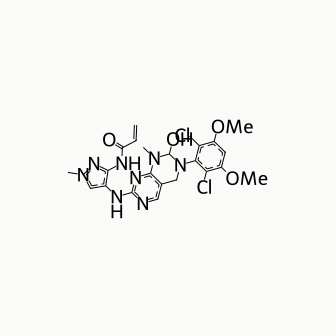 C=CC(=O)Nc1nn(C)cc1Nc1ncc2c(n1)N(C)C(O)N(c1c(Cl)c(OC)cc(OC)c1Cl)C2